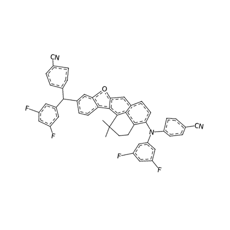 CC1(C)CCc2c(N(c3ccc(C#N)cc3)c3cc(F)cc(F)c3)ccc3cc4oc5cc(C(c6ccc(C#N)cc6)c6cc(F)cc(F)c6)ccc5c4c1c23